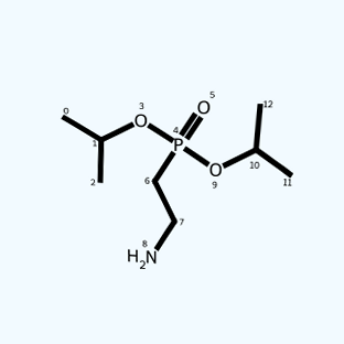 CC(C)OP(=O)(CCN)OC(C)C